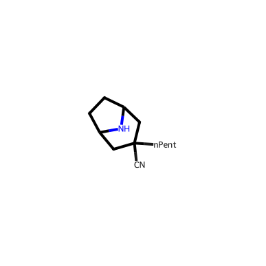 CCCCCC1(C#N)CC2CCC(C1)N2